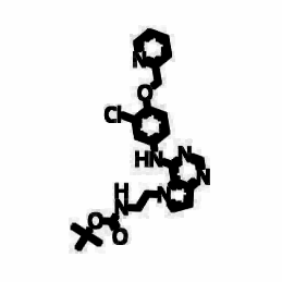 CC(C)(C)OC(=O)NCCn1ccc2ncnc(Nc3ccc(OCc4ccccn4)c(Cl)c3)c21